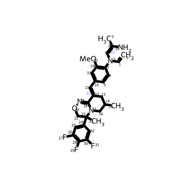 C=CN(/C=C(/C)N)c1ccc(/C=C2\CC(C)CN3C2=NOCC3(C)c2cc(F)c(F)c(F)c2)cc1OC